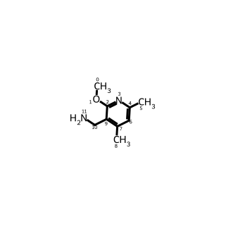 COc1nc(C)cc(C)c1CN